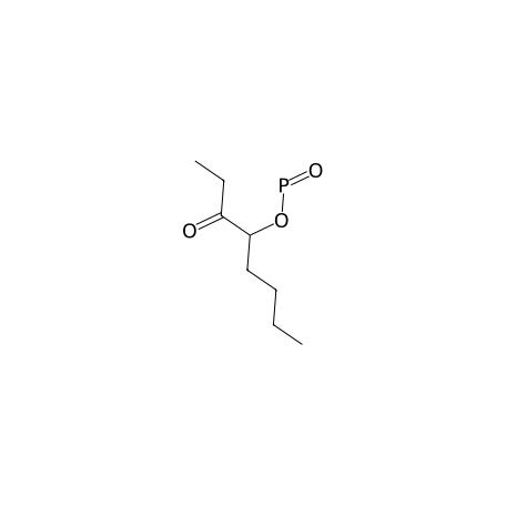 CCCCC(OP=O)C(=O)CC